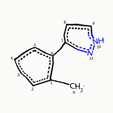 [CH2]c1ccccc1-c1cc[nH]n1